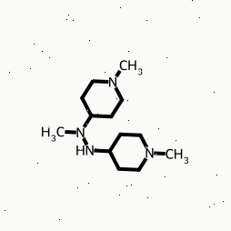 CN1CCC(NN(C)C2CCN(C)CC2)CC1